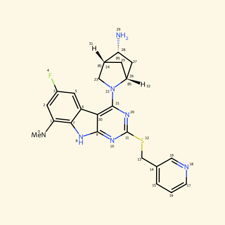 CNc1cc(F)cc2c1[nH]c1nc(SCc3cccnc3)nc(N3C[C@H]4C[C@@H]3C[C@H]4N)c12